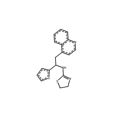 c1csc(C(Cc2ccnc3ccccc23)NC2=NCCS2)c1